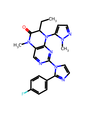 CCC1C(=O)N(C)c2cnc(-n3ccnc3-c3ccc(F)cc3)nc2N1c1ccnn1C